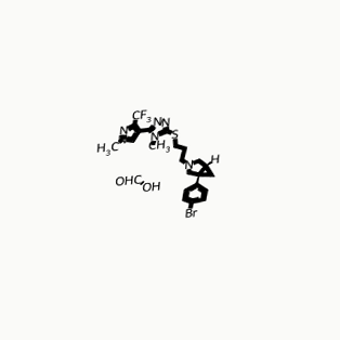 Cn1cc(-c2nnc(SCCCN3C[C@@H]4C[C@]4(c4ccc(Br)cc4)C3)n2C)c(C(F)(F)F)n1.O=CO